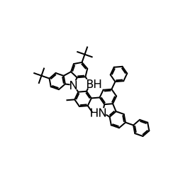 Cc1cc(C)c2c(c1-c1cc(-c3ccccc3)cc3c1[nH]c1ccc(-c4ccccc4)cc13)Bc1cc(C(C)(C)C)cc3c4cc(C(C)(C)C)ccc4n-2c13